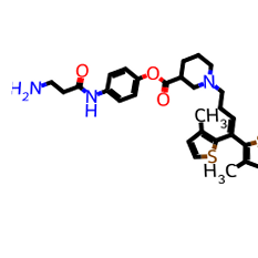 Cc1ccsc1C(=CCCN1CCCC(C(=O)Oc2ccc(NC(=O)CCN)cc2)C1)c1sccc1C